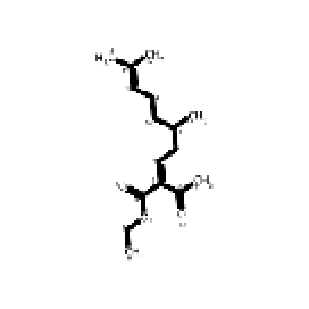 CCOC(=O)C(=CCC(C)CCC=C(C)C)C(C)=O